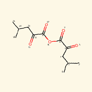 CC(C)CC(=O)C(=O)OC(=O)C(=O)CC(C)C